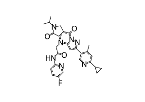 Cc1cc(C2CC2)ncc1-c1cc2n(CC(=O)Nc3ccc(F)cn3)c3c(c(=O)n2n1)CN(C(C)C)C3=O